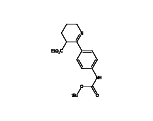 CCOC(=O)C1CCCN=C1c1ccc(NC(=O)OC(C)(C)C)cc1